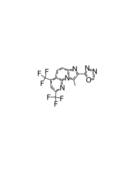 Cc1c(-c2nnco2)nc2ccc3c(C(F)(F)F)cc(C(F)(F)F)nc3n12